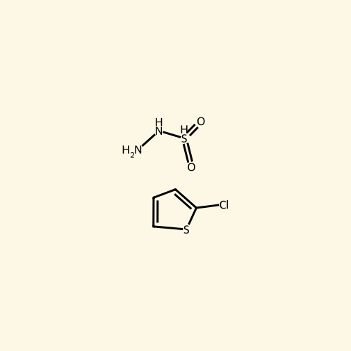 Clc1cccs1.NN[SH](=O)=O